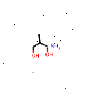 CC(CO)CO.N